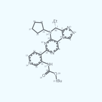 CC[C@@H]1c2nncn2-c2cnc(-c3ccncc3NC(=O)OC(C)(C)C)nc2N1C1CCCC1